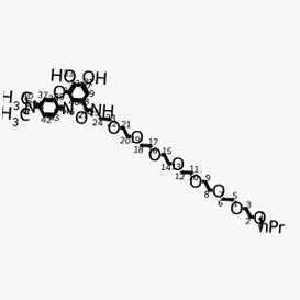 CCCOCCOCCOCCOCCOCCOCCOCCOCCNC(=O)c1cc(O)c(O)c2oc3cc(=[N+](C)C)ccc-3nc12